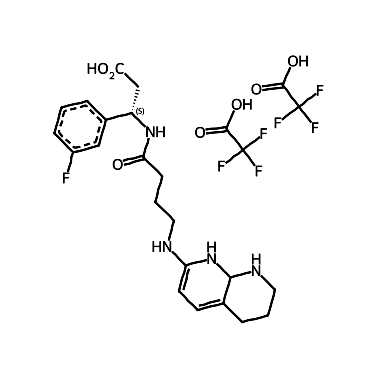 O=C(O)C(F)(F)F.O=C(O)C(F)(F)F.O=C(O)C[C@H](NC(=O)CCCNC1=CC=C2CCCNC2N1)c1cccc(F)c1